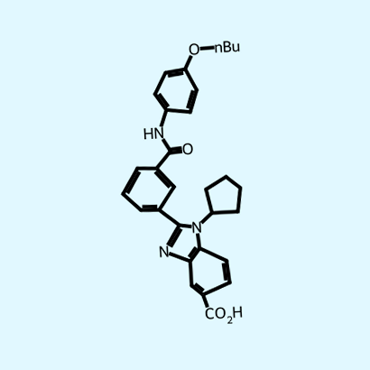 CCCCOc1ccc(NC(=O)c2cccc(-c3nc4cc(C(=O)O)ccc4n3C3CCCC3)c2)cc1